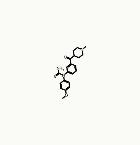 COc1ccc(N(C(N)=S)c2cccc(C(=O)C3CCN(C)CC3)c2)cc1